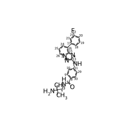 CC(C)(N)CNC(=O)c1ccc(Nc2nc3c(-c4cccc(F)c4)cccn3n2)cc1